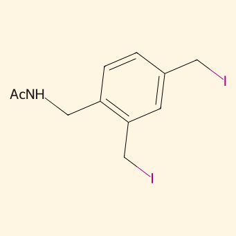 CC(=O)NCc1ccc(CI)cc1CI